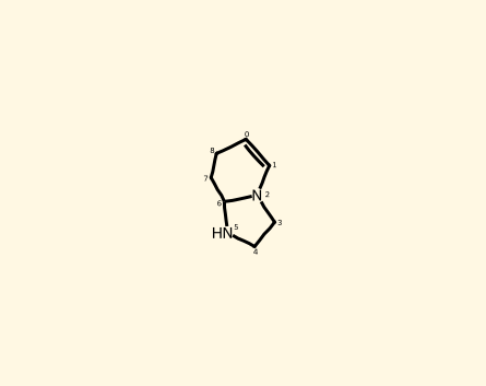 C1=CN2CCNC2CC1